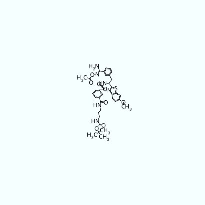 COc1ccc2nc(C(Cc3cccc(C(N)=NOC(C)=O)c3)NS(=O)(=O)c3cccc(C(=O)NCCCNC(=O)OC(C)(C)C)c3)sc2c1